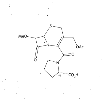 COC1C(=O)N2C(C(=O)N3CCC[C@H]3C(=O)O)=C(COC(C)=O)CSC12